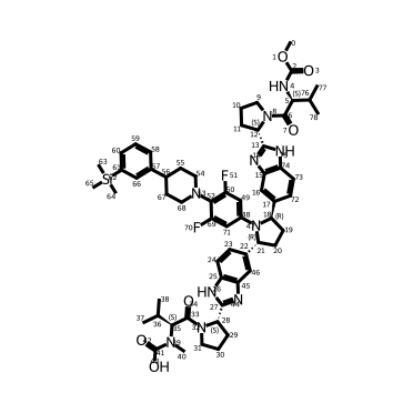 COC(=O)N[C@H](C(=O)N1CCC[C@H]1c1nc2cc([C@H]3CC[C@H](c4ccc5[nH]c([C@@H]6CCCN6C(=O)[C@H](C(C)C)N(C)C(=O)O)nc5c4)N3c3cc(F)c(N4CCC(c5cccc([Si](C)(C)C)c5)CC4)c(F)c3)ccc2[nH]1)C(C)C